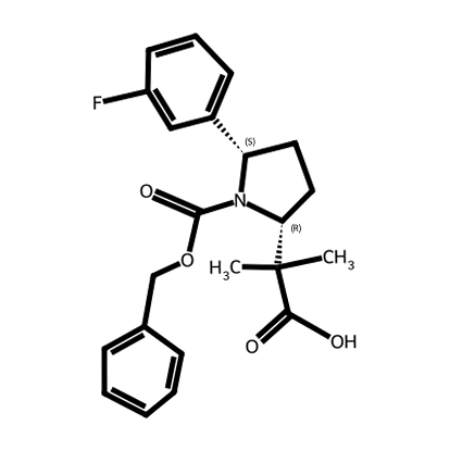 CC(C)(C(=O)O)[C@H]1CC[C@@H](c2cccc(F)c2)N1C(=O)OCc1ccccc1